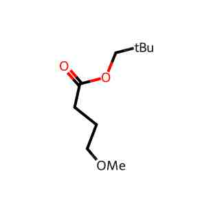 COCCCC(=O)OCC(C)(C)C